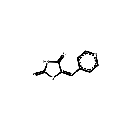 O=C1NC(=S)SC1=Cc1ccncc1